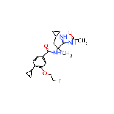 CC(=O)NC(=N)C(C)(CC1CC1)NC(=O)c1ccc(C2CC2)c(OCCF)c1